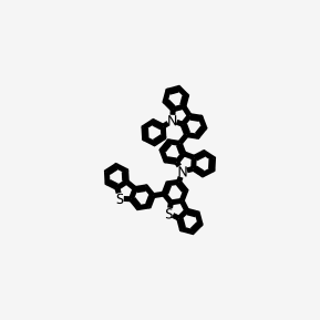 C1=C(c2ccc3sc4ccccc4c3c2)C2Sc3ccccc3C2C=C1n1c2ccccc2c2c(-c3cccc4c5ccccc5n(-c5ccccc5)c34)cccc21